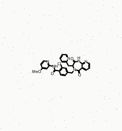 COc1ccnc(NC(=O)c2ccc(CN3C(=O)c4cccnc4NC(=O)C3Cc3ccccn3)cc2Cl)c1